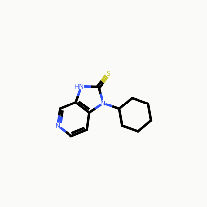 S=c1[nH]c2cnccc2n1C1CCCCC1